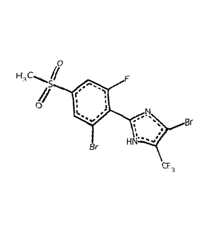 CS(=O)(=O)c1cc(F)c(-c2nc(Br)c(C(F)(F)F)[nH]2)c(Br)c1